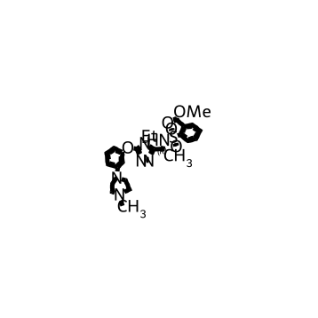 CCn1c(Oc2cccc(N3CCN(C)CC3)c2)nnc1[C@@H](C)NS(=O)(=O)c1ccccc1C(=O)OC